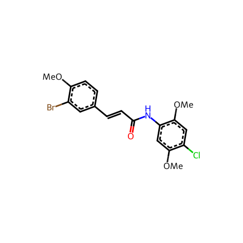 COc1cc(NC(=O)/C=C/c2ccc(OC)c(Br)c2)c(OC)cc1Cl